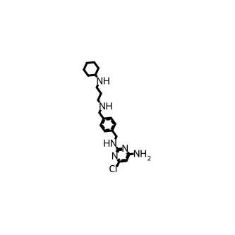 Nc1cc(Cl)nc(NCc2ccc(CNCCCNC3CCCCC3)cc2)n1